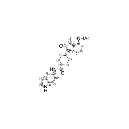 CC(=O)Nc1cccc2c1[nH]c(=O)n2C1CCC(C(=O)Nc2ccc3[nH]ncc3c2)CC1